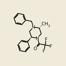 C[C@@H]1CN(C(=O)C(F)(F)F)[C@@H](c2ccccc2)CN1Cc1ccccc1